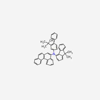 CC(C)(C)c1cc(N(c2cccc3c2-c2ccccc2C3(C)C)c2cc3ccc4ccccc4c3c3ccccc23)ccc1-c1ccccc1